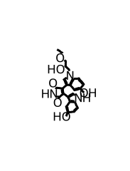 CCOCC(O)Cn1cc(C2=C(c3c[nH]c4ccc(O)cc34)C(=O)NC2=O)c2cc(O)ccc21